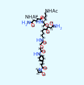 CC(=O)NCCCC[C@H](NC(=O)[C@H](CCC(N)=O)NC(C)=O)C(=O)C[C@@H](CCCCNC(=O)COCC(=O)Nc1ccc(CCC(=O)N2CCC2=O)cc1)C(=O)CCC(N)=O